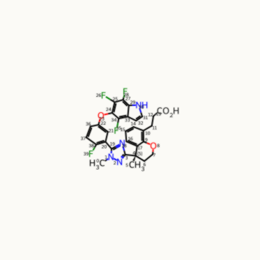 Cn1nc([C@@]2(C)CCOc3c(CCC(=O)O)cccc32)nc1-c1cc(Oc2c(F)c(F)c3[nH]ccc3c2F)ccc1F